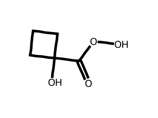 O=C(OO)C1(O)CCC1